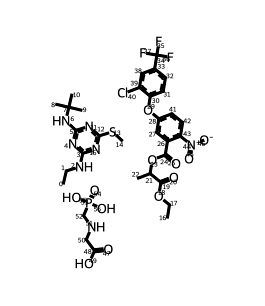 CCNc1nc(NC(C)(C)C)nc(SC)n1.CCOC(=O)C(C)OC(=O)c1cc(Oc2ccc(C(F)(F)F)cc2Cl)ccc1[N+](=O)[O-].O=C(O)CNCP(=O)(O)O